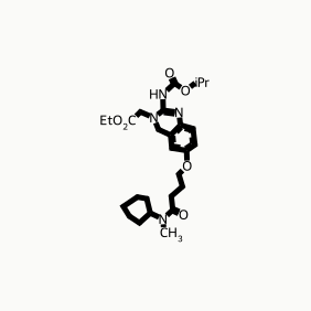 CCOC(=O)CN1Cc2cc(OCCCC(=O)N(C)C3CCCCC3)ccc2N=C1NC(=O)OC(C)C